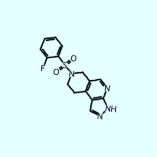 O=S(=O)(c1ccccc1F)N1CCc2c(cnc3[nH]ncc23)C1